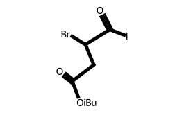 CC(C)COC(=O)CC(Br)C(=O)I